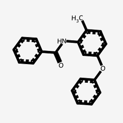 Cc1ccc(Oc2ccccc2)cc1NC(=O)c1ccccc1